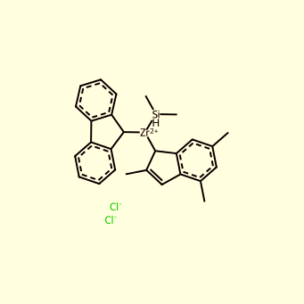 CC1=Cc2c(C)cc(C)cc2[CH]1[Zr+2]([CH]1c2ccccc2-c2ccccc21)[SiH](C)C.[Cl-].[Cl-]